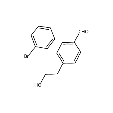 Brc1ccccc1.O=Cc1ccc(CCO)cc1